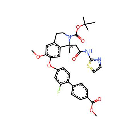 COC(=O)c1ccc(-c2ccc(Oc3cc4c(cc3OC)CCN(C(=O)OC(C)(C)C)[C@]4(C)CC(=O)Nc3nccs3)cc2F)cc1